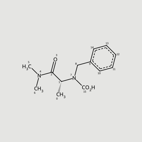 C[C@H](C(=O)N(C)C)N(Cc1ccccc1)C(=O)O